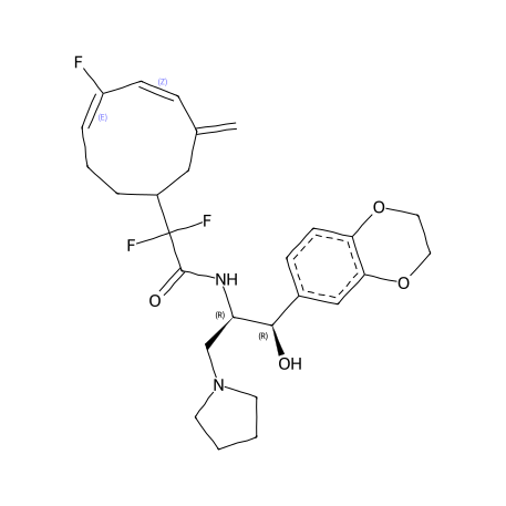 C=C1/C=C\C(F)=C/CCC(C(F)(F)C(=O)N[C@H](CN2CCCC2)[C@H](O)c2ccc3c(c2)OCCO3)C1